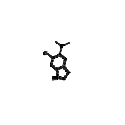 CN(C)c1cc2[c]c[nH]c2cc1Cl